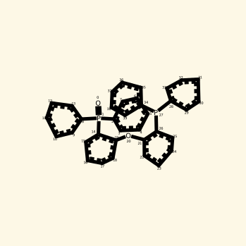 O=P(c1ccccc1)(c1ccccc1)c1ccccc1Oc1ccccc1P(c1ccccc1)c1ccccc1